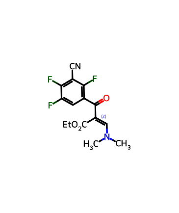 CCOC(=O)/C(=C\N(C)C)C(=O)c1cc(F)c(F)c(C#N)c1F